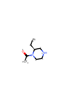 CC(C)C[C@H]1CNCCN1C(=O)C(F)(F)F